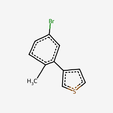 Cc1ccc(Br)cc1-c1ccsc1